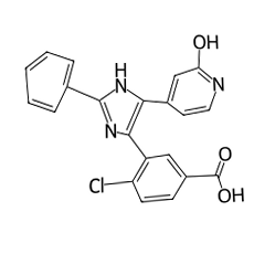 O=C(O)c1ccc(Cl)c(-c2nc(-c3ccccc3)[nH]c2-c2ccnc(O)c2)c1